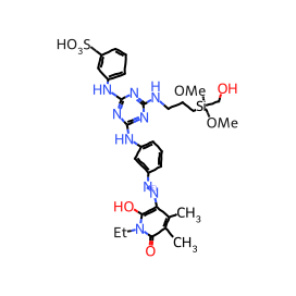 CCn1c(O)c(/N=N/c2cccc(Nc3nc(NCCC[Si](CO)(OC)OC)nc(Nc4cccc(S(=O)(=O)O)c4)n3)c2)c(C)c(C)c1=O